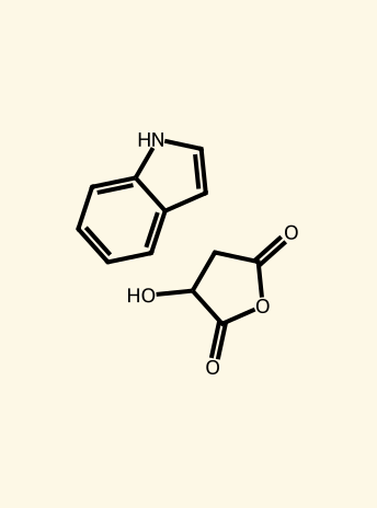 O=C1CC(O)C(=O)O1.c1ccc2[nH]ccc2c1